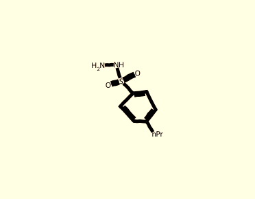 CCCc1ccc(S(=O)(=O)NN)cc1